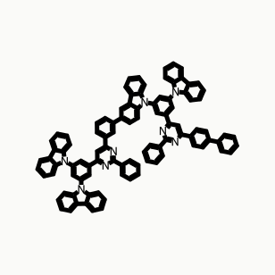 c1ccc(-c2ccc(-c3cc(-c4cc(-n5c6ccccc6c6ccccc65)cc(-n5c6ccccc6c6cc(-c7cccc(-c8cc(-c9cc(-n%10c%11ccccc%11c%11ccccc%11%10)cc(-n%10c%11ccccc%11c%11ccccc%11%10)c9)nc(-c9ccccc9)n8)c7)ccc65)c4)nc(-c4ccccc4)n3)cc2)cc1